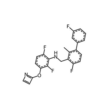 Cc1c(-c2cccc(F)c2)ccc(F)c1CNc1c(F)ccc(OC2=NC=C2)c1F